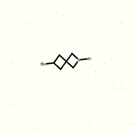 CC(C)N1CC2(CC(C(C)(C)C)C2)C1